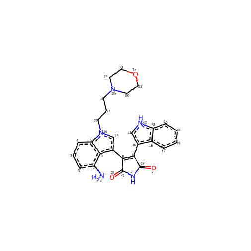 Nc1cccc2c1c(C1=C(c3c[nH]c4ccccc34)C(=O)NC1=O)cn2CCCN1CCOCC1